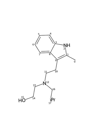 Cc1[nH]c2ccccc2c1CCN(CCO)CC(C)C